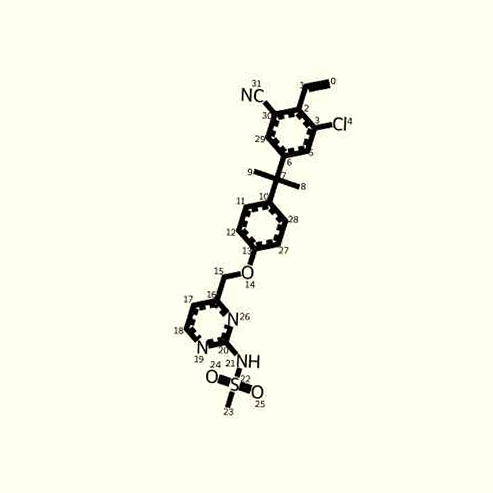 C=Cc1c(Cl)cc(C(C)(C)c2ccc(OCc3ccnc(NS(C)(=O)=O)n3)cc2)cc1C#N